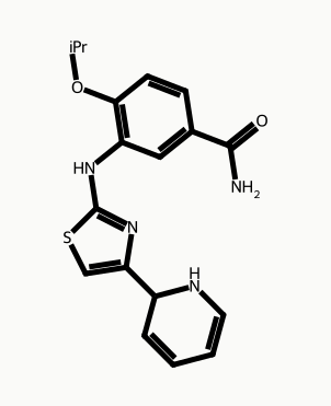 CC(C)Oc1ccc(C(N)=O)cc1Nc1nc(C2C=CC=CN2)cs1